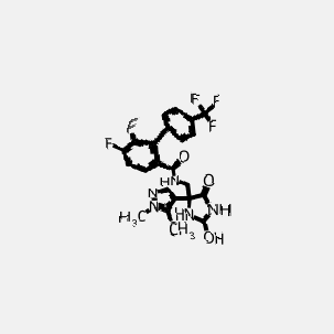 Cc1c(C2(CNC(=O)c3ccc(F)c(F)c3-c3ccc(C(F)(F)F)cc3)NC(O)NC2=O)cnn1C